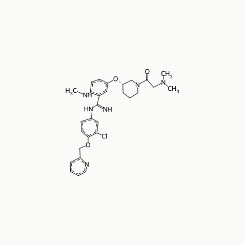 CNc1ccc(O[C@H]2CCCN(C(=O)CN(C)C)C2)cc1C(=N)Nc1ccc(OCc2ccccn2)c(Cl)c1